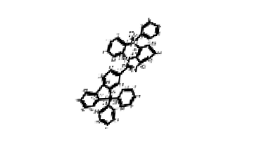 O=P1(c2ccccc2)c2ccccc2-n2c(-c3ccc4c(c3)C(c3ccccc3)(c3ccccc3)c3ccccc3-4)nc3cccc1c32